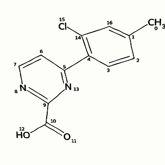 Cc1ccc(-c2ccnc(C(=O)O)n2)c(Cl)c1